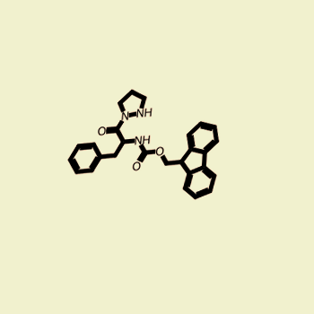 O=C(NC(Cc1ccccc1)C(=O)N1CCCN1)OCC1c2ccccc2-c2ccccc21